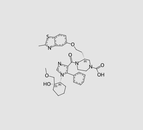 COC[C@]1(O)CCCC[C@H]1n1cnc(C(=O)N2CCN(C(=O)O)C[C@H]2CCOc2ccc3sc(C)nc3c2)c1-c1ccccc1